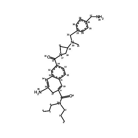 CCCN(CCC)C(=O)C1=Cc2ccc(C(=O)N3CC(N(C)Cc4ccc(CN)cc4)C3)cc2N=C(N)C1